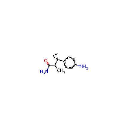 CC(C(N)=O)C1(c2ccc(N)cc2)CC1